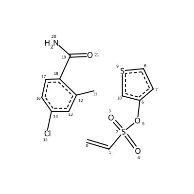 C=CS(=O)(=O)Oc1ccsc1.Cc1cc(Cl)ccc1C(N)=O